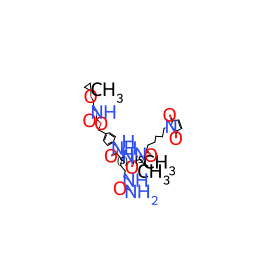 CC(C)[C@H](NC(=O)CCCCCN1C(=O)C=CC1=O)C(=O)N[C@@H](CCCNC(N)=O)C(=O)Nc1ccc(COC(=O)NCCOC2(C)CC2)cc1